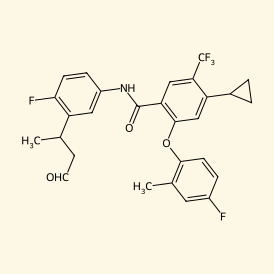 Cc1cc(F)ccc1Oc1cc(C2CC2)c(C(F)(F)F)cc1C(=O)Nc1ccc(F)c(C(C)CC=O)c1